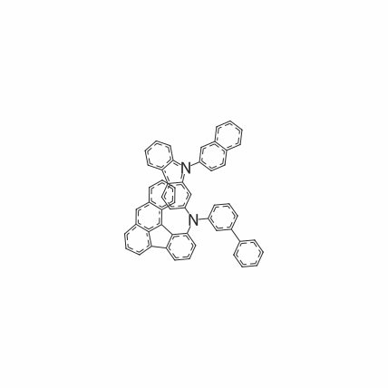 c1ccc(-c2cccc(N(c3ccc4c5ccccc5n(-c5ccc6ccccc6c5)c4c3)c3cccc4c3-c3c5ccccc5cc5cccc-4c35)c2)cc1